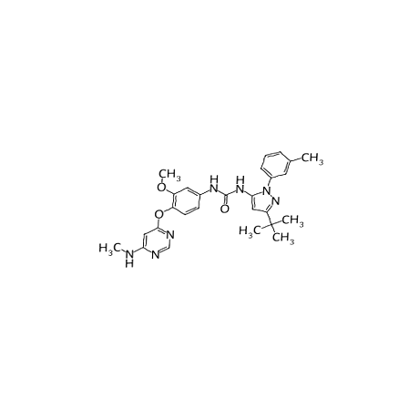 CNc1cc(Oc2ccc(NC(=O)Nc3cc(C(C)(C)C)nn3-c3cccc(C)c3)cc2OC)ncn1